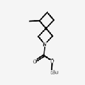 CC1CCC12CN(C(=O)OC(C)(C)C)C2